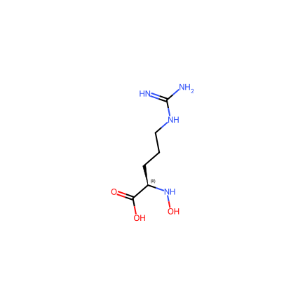 N=C(N)NCCC[C@@H](NO)C(=O)O